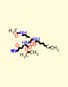 CCCCCCCC(=O)N[C@@H](CCCCNC(C)=O)C(=O)N[C@@H](CCC(=O)C=[N+]=[N-])C(=O)OC(C)C